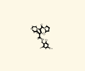 CC1CCCN1C(=O)c1cc(C(=O)NCc2c(F)cc(F)cc2F)c2n1CCOC2